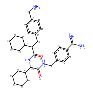 N=C(N)c1ccc(CNC(=O)[C@@H](NC(=O)C(Cc2ccc(CN)cc2)C2CCCCC2)C2CCCCC2)cc1